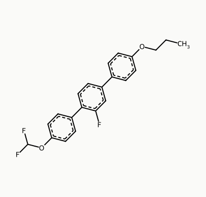 CCCOc1ccc(-c2ccc(-c3ccc(OC(F)F)cc3)c(F)c2)cc1